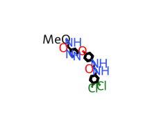 CONC(=O)c1cc(Oc2ccc(NC(=O)Nc3ccc(Cl)c(Cl)c3)cc2)ncn1